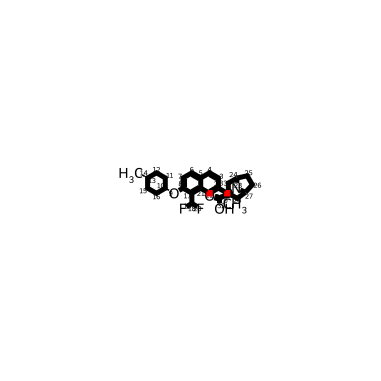 CC(c1ccc2ccc(O[C@H]3CC[C@@H](C)CC3)c(C(F)F)c2c1)N1C2CCC1CC(C(=O)O)C2